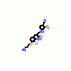 COc1cc(NCc2cc3ccc(OCCCN(C)C)c(Cl)c3[nH]c2=O)ccc1C#N